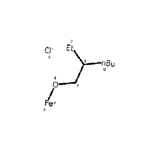 CCCCC(CC)C[O][Fe+].[Cl-]